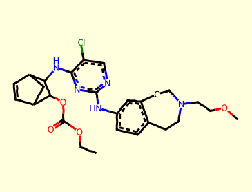 CCOC(=O)OC1C2C=CC(C2)C1Nc1nc(Nc2ccc3c(c2)CCN(CCOC)CC3)ncc1Cl